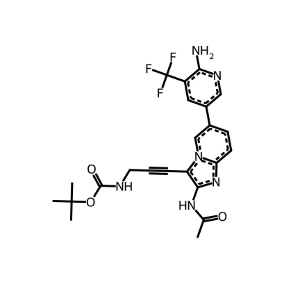 CC(=O)Nc1nc2ccc(-c3cnc(N)c(C(F)(F)F)c3)cn2c1C#CCNC(=O)OC(C)(C)C